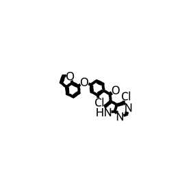 O=C(c1ccc(Oc2cccc3ccoc23)cc1Cl)c1c[nH]c2ncnc(Cl)c12